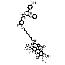 COc1cc2c(c(Cl)c1OC(C)=O)Oc1c(cc(CO)c(C)c1Cl)C21OC(=O)c2ccc(C(=O)NCCCCCCCCOc3ccc(Cc4nc5c(Cc6ccccc6)[nH]c(-c6ccc(O)cc6)cn-5c4=O)cc3F)cc21